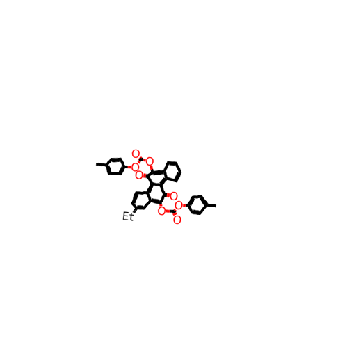 CCc1ccc2c(c1)=C(OC(=O)Oc1ccc(C)cc1)C(=O)C1=c3ccccc3=C(OC(=O)Oc3ccc(C)cc3)C(=O)C=21